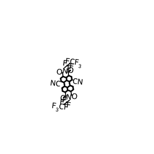 N#Cc1cc2c3c(cc(C#N)c4c5ccc6c7c(ccc(c1c34)c75)C(=O)N(CC(F)(F)C(F)(F)C(F)(F)F)C6=O)C(=O)N(CC(F)(F)C(F)(F)C(F)(F)F)C2=O